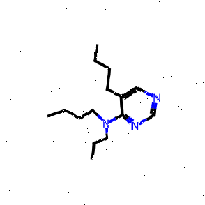 CCCCc1cncnc1N(CCC)CCCC